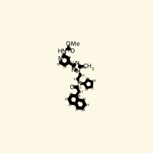 COC(=O)Nc1cc(-c2nc(C)n(CCN(C(=O)Cc3cccc4ccccc34)C3CCCC3)n2)ccn1